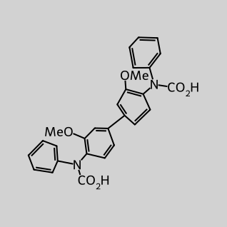 COc1cc(-c2ccc(N(C(=O)O)c3ccccc3)c(OC)c2)ccc1N(C(=O)O)c1ccccc1